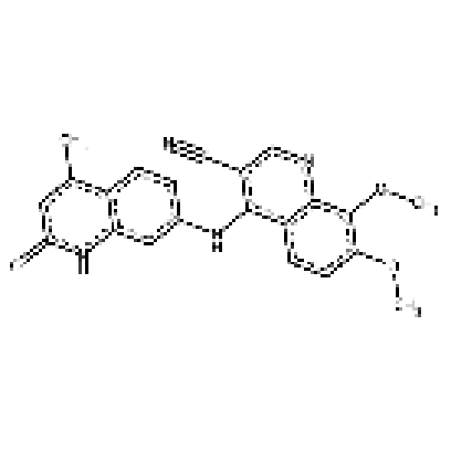 COc1ccc2c(Nc3ccc4c(C)cc(=O)[nH]c4c3)c(C#N)cnc2c1OC